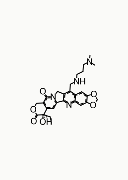 CC[C@@]1(O)C(=O)OCc2c1cc1n(c2=O)Cc2c-1nc1cc3c(cc1c2CNCCCN(C)C)OCO3